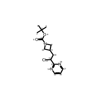 CC(C)(C)OC(=O)N1CC(CC(Cl)c2ncccn2)C1